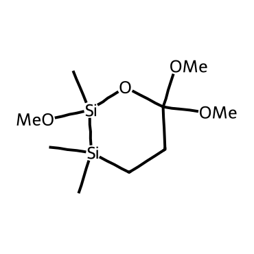 COC1(OC)CC[Si](C)(C)[Si](C)(OC)O1